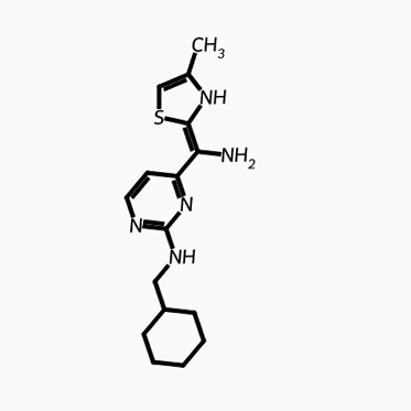 CC1=CS/C(=C(/N)c2ccnc(NCC3CCCCC3)n2)N1